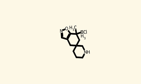 CC1(C)CC2(CCCNC2)Cc2cnoc21.Cl